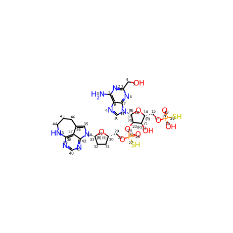 Nc1nc(CO)nc2c1ncn2[C@@H]1O[C@H](COP(=O)(O)S)[C@@H](O)[C@H]1OP(=O)(S)OC[C@@H]1CC[C@H](n2cc3c4c(ncnc42)NCCC3)O1